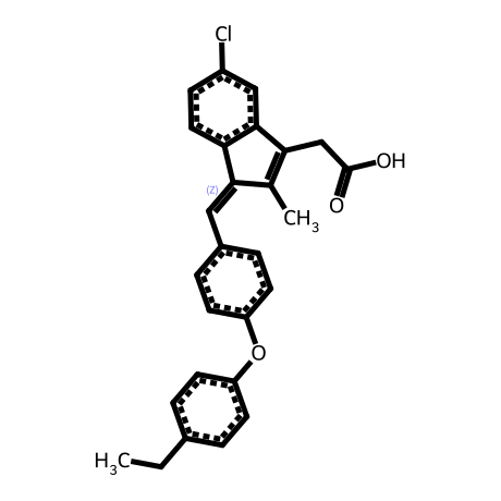 CCc1ccc(Oc2ccc(/C=C3\C(C)=C(CC(=O)O)c4cc(Cl)ccc43)cc2)cc1